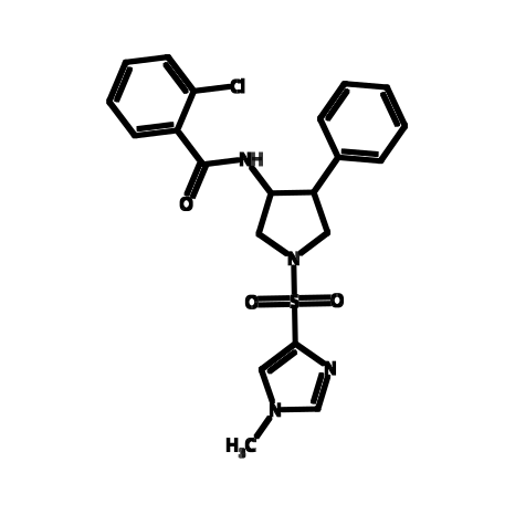 Cn1cnc(S(=O)(=O)N2CC(NC(=O)c3ccccc3Cl)C(c3ccccc3)C2)c1